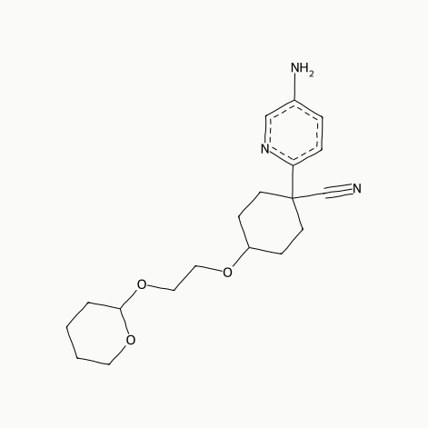 N#CC1(c2ccc(N)cn2)CCC(OCCOC2CCCCO2)CC1